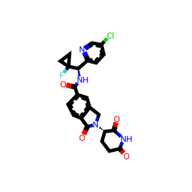 O=C1CC[C@H](N2Cc3cc(C(=O)N[C@H](c4ccc(Cl)cn4)C4(F)CC4)ccc3C2=O)C(=O)N1